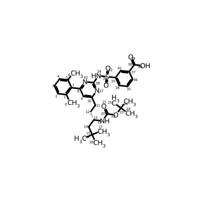 Cc1cccc(C)c1-c1cc(CC[C@@H](CC(C)(C)C)NC(=O)OC(C)(C)C)nc(NS(=O)(=O)c2cccc(C(=O)O)c2)n1